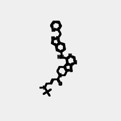 CN(C/C=C/C(=O)N1CCc2c(sc3ncnc(Nc4ccc5c(cnn5Cc5ccccn5)c4)c23)C1)C(C)(C)C